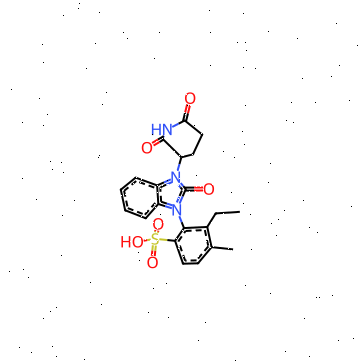 CCc1c(C)ccc(S(=O)(=O)O)c1-n1c(=O)n(C2CCC(=O)NC2=O)c2ccccc21